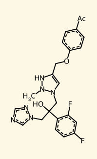 CC(=O)c1ccc(OCC2=CN(CC(O)(Cn3cncn3)c3ccc(F)cc3F)N(C)N2)cc1